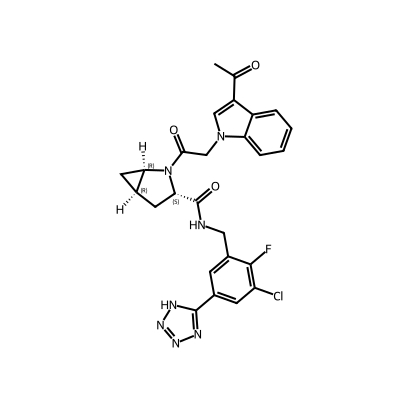 CC(=O)c1cn(CC(=O)N2[C@@H]3C[C@@H]3C[C@H]2C(=O)NCc2cc(-c3nnn[nH]3)cc(Cl)c2F)c2ccccc12